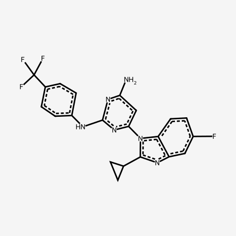 Nc1cc(-n2c(C3CC3)nc3cc(F)ccc32)nc(Nc2ccc(C(F)(F)F)cc2)n1